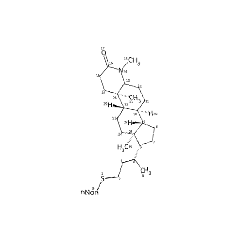 CCCCCCCCCSCCC(C)[C@H]1CC[C@H]2[C@@H]3CCC4N(C)C(=O)CC[C@]4(C)[C@H]3CC[C@]12C